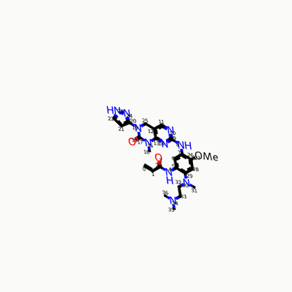 C=CC(=O)Nc1cc(Nc2ncc3c(n2)N(C)C(=O)N(c2cc[nH]n2)C3)c(OC)cc1N(C)CCN(C)C